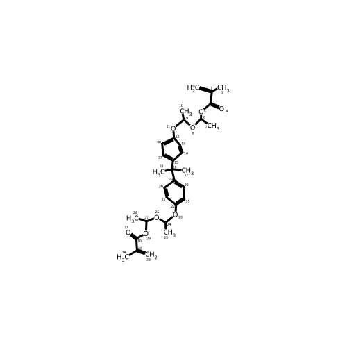 C=C(C)C(=O)OC(C)OC(C)Oc1ccc(C(C)(C)c2ccc(OC(C)OC(C)OC(=O)C(=C)C)cc2)cc1